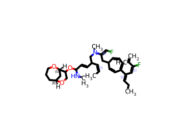 C=C(C)/C(F)=C\C(=C/CC)C1=CC=CC(C/C(=C\F)N(C)CC(C=CC(NC)OC2CO[C@@H]3CCCO[C@H]2C3)/C=C\C)C=C1